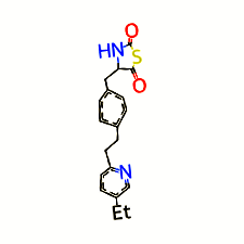 CCc1ccc(CCc2ccc(CC3NC(=O)SC3=O)cc2)nc1